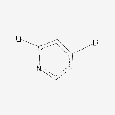 [Li][c]1ccn[c]([Li])c1